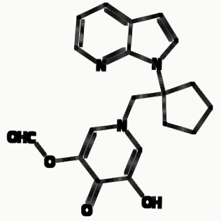 O=COc1cn(CC2(n3ccc4cccnc43)CCCC2)cc(O)c1=O